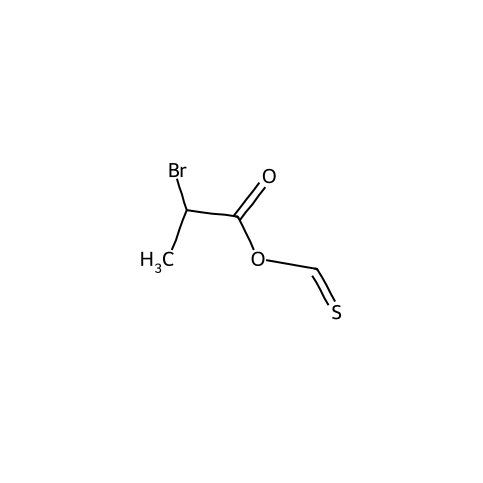 CC(Br)C(=O)OC=S